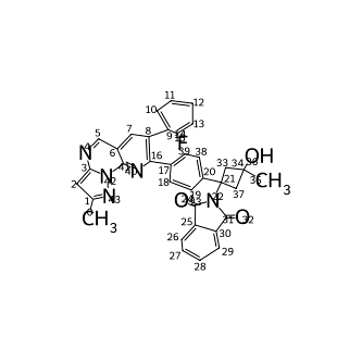 Cc1cc2ncc3cc(-c4ccccc4F)c(-c4ccc(C5(N6C(=O)c7ccccc7C6=O)CC(C)(O)C5)cc4)nc3n2n1